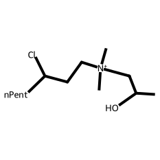 CCCCCC(Cl)CC[N+](C)(C)CC(C)O